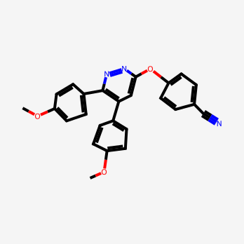 COc1ccc(-c2cc(Oc3ccc(C#N)cc3)nnc2-c2ccc(OC)cc2)cc1